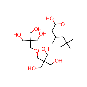 CC(CC(=O)O)CC(C)(C)C.OCC(CO)(CO)COCC(CO)(CO)CO